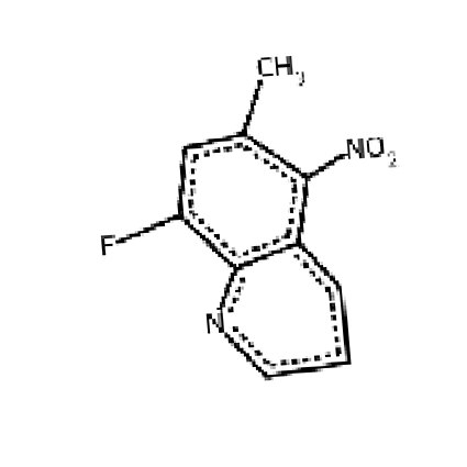 Cc1cc(F)c2ncccc2c1[N+](=O)[O-]